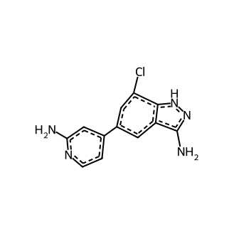 Nc1cc(-c2cc(Cl)c3[nH]nc(N)c3c2)ccn1